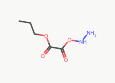 CCCOC(=O)C(=O)ONN